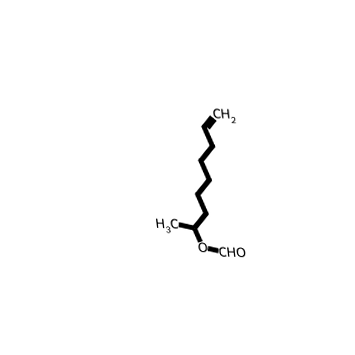 C=CCCCCCC(C)OC=O